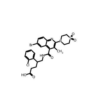 Cc1c(N2CCS(=O)(=O)CC2)nc2ccc(Br)cc2c1C(=O)NCC(CCC(=O)O)c1ccccc1Cl